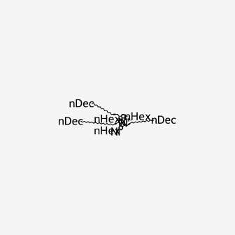 CCCCCCCCCCCCCCCCCCCCCCC#CCCc1ccc(CCCCCC)cc1C1=C(C#CCCCCCCCCCCCCCCCCCCCCCCCCCCC)C(CCCCCC)=C(c2cc(CCCCCC)ccc2CCC#CCCCCCCCCCCCCCCCCCCCCCC)[N+]1=[N-].[Ni]